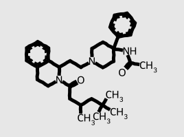 CC(=O)NC1(c2ccccc2)CCN(CCC2c3ccccc3CCN2C(=O)CC(C)CC(C)(C)C)CC1